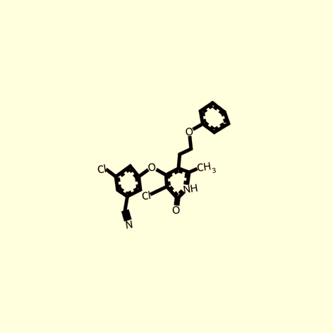 Cc1[nH]c(=O)c(Cl)c(Oc2cc(Cl)cc(C#N)c2)c1CCOc1ccccc1